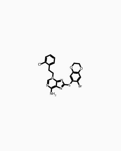 Nc1ncn(CCc2ccccc2Cl)c2nc(Sc3cc4c(cc3Br)OCCO4)nc1-2